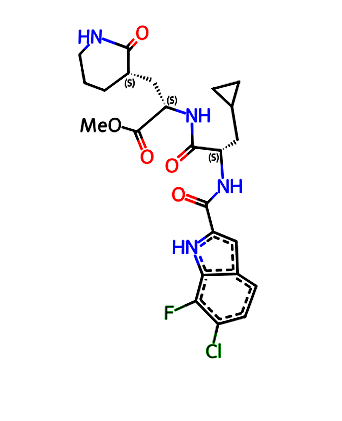 COC(=O)[C@H](C[C@@H]1CCCNC1=O)NC(=O)[C@H](CC1CC1)NC(=O)c1cc2ccc(Cl)c(F)c2[nH]1